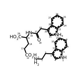 NCCc1c[nH]c2ccccc12.O=C(O)CCC(NC(=O)Cc1c[nH]c2ccccc12)C(=O)O